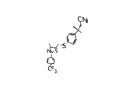 Cc1nc(-c2ccc(C(F)(F)F)cc2)sc1CSc1ccc(C(C)(C)CC#N)cc1